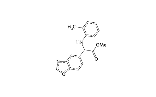 COC(=O)C(Nc1ccccc1C)c1ccc2ocnc2c1